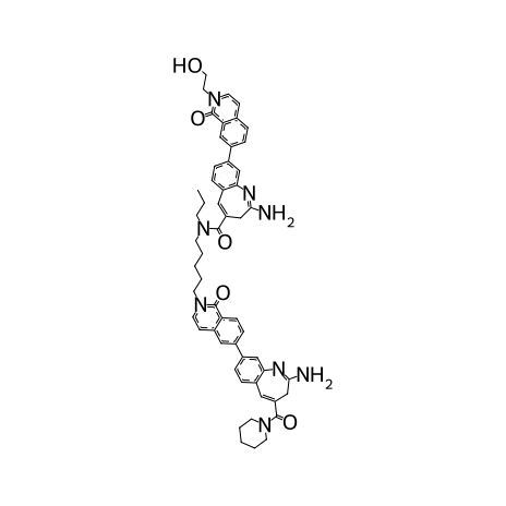 CCCN(CCCCCn1ccc2cc(-c3ccc4c(c3)N=C(N)CC(C(=O)N3CCCCC3)=C4)ccc2c1=O)C(=O)C1=Cc2ccc(-c3ccc4ccn(CCO)c(=O)c4c3)cc2N=C(N)C1